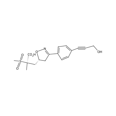 C[C@@](C[C@H]1CC(c2ccc(C#CCO)cc2)=NO1)(C(=O)O)S(C)(=O)=O